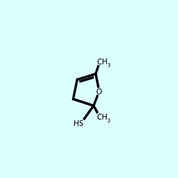 CC1=CCC(C)(S)O1